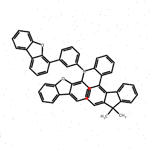 CC1(C)c2ccccc2-c2c(-c3ccccc3N(c3cccc(-c4cccc5c4oc4ccccc45)c3)c3cccc4c3oc3ccccc34)cccc21